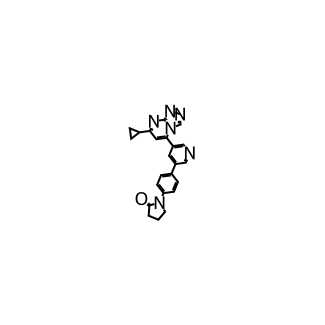 O=C1CCCN1c1ccc(-c2cncc(-c3cc(C4CC4)nc4nncn34)c2)cc1